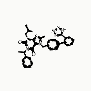 Cc1nc2c(c(=O)n(C(C)c3ccccc3)c(=O)n2CC(C)C)n1Cc1ccc(-c2ccccc2-c2nnn[nH]2)cc1